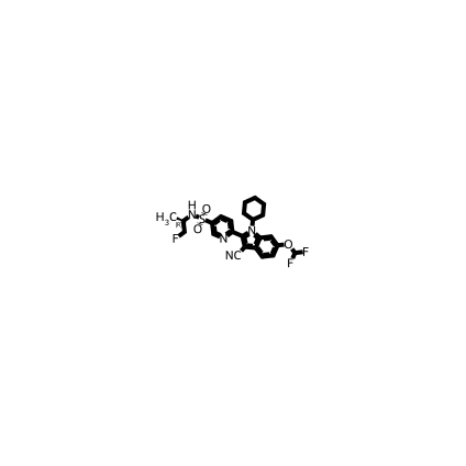 C[C@H](CF)NS(=O)(=O)c1ccc(-c2c(C#N)c3ccc(OC(F)F)cc3n2C2CCCCC2)nc1